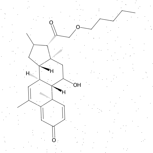 CCCCCOCC(=O)[C@H]1C(C)C[C@H]2[C@@H]3C=C(C)C4=CC(=O)C=C[C@]4(C)[C@H]3C(O)C[C@]12C